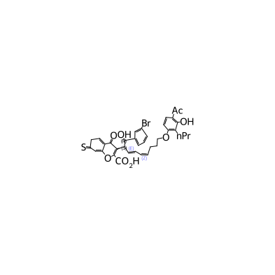 CCCc1c(OCCC/C=C\C=C\[C@@H](c2c(C(=O)O)oc3c(c2=O)=CCC(=S)C=3)[C@@H](O)c2cccc(Br)c2)ccc(C(C)=O)c1O